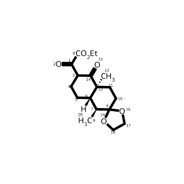 CCOC(=O)C(=O)C1CC[C@H]2[C@H](C)C3(CC[C@]2(C)C1=O)OCCO3